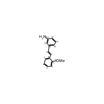 COc1ccccc1C=Cc1cccc(N)c1